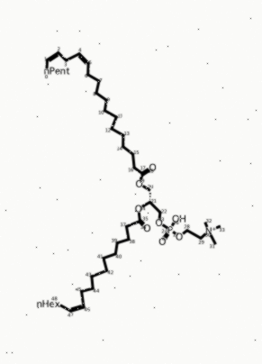 CCCCC/C=C\C/C=C\CCCCCCCCCCCC(=O)OC[C@H](COP(=O)(O)OCC[N+](C)(C)C)OC(=O)CCCCCCCCC/C=C\CCCCCC